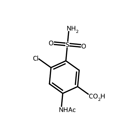 CC(=O)Nc1cc(Cl)c(S(N)(=O)=O)cc1C(=O)O